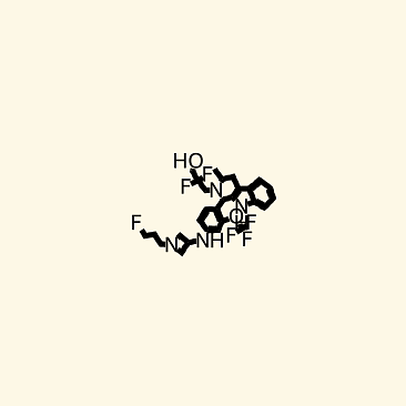 CC1Cc2c([nH]c3ccccc23)C(c2ccc(NC3CN(CCCF)C3)cc2OC(F)(F)F)N1CC(F)(F)CO